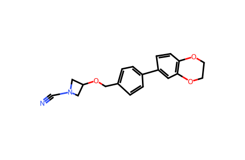 N#CN1CC(OCc2ccc(-c3ccc4c(c3)OCCO4)cc2)C1